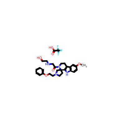 COc1ccc2[nH]c3c(c2c1)CCN(C(=O)CNCCO)C31CCN(CCOc2ccccc2)C1.O=C(O)C(F)(F)F